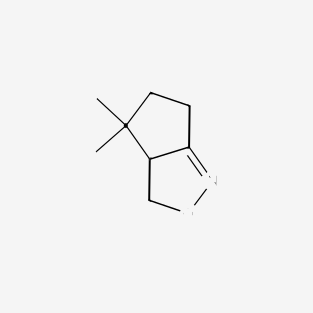 CC1(C)CCC2=NOCC21